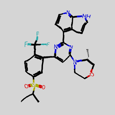 CC(C)S(=O)(=O)c1ccc(C(F)(F)F)c(-c2cc(N3CCOC[C@H]3C)nc(-c3ccnc4[nH]ccc34)n2)c1